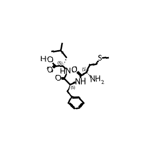 CSCC[C@H](N)C(=O)N[C@@H](Cc1ccccc1)C(=O)N[C@@H](CC(C)C)C(=O)O